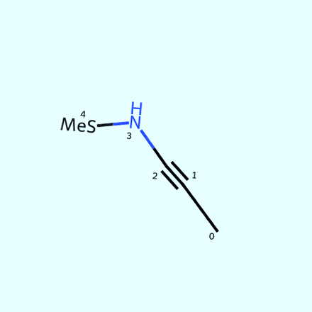 CC#CNSC